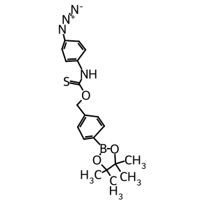 CC1(C)OB(c2ccc(COC(=S)Nc3ccc(N=[N+]=[N-])cc3)cc2)OC1(C)C